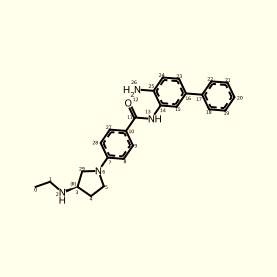 CCN[C@@H]1CCN(c2ccc(C(=O)Nc3cc(-c4ccccc4)ccc3N)cc2)C1